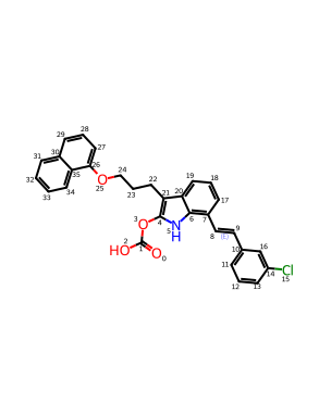 O=C(O)Oc1[nH]c2c(/C=C/c3cccc(Cl)c3)cccc2c1CCCOc1cccc2ccccc12